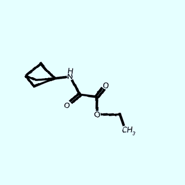 CCOC(=O)C(=O)NC12CC(C1)C2